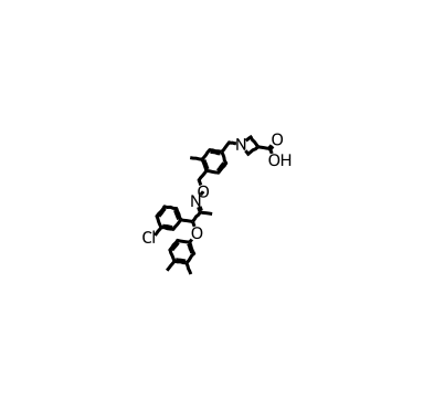 C/C(=N\OCc1ccc(CN2CC(C(=O)O)C2)cc1C)C(Oc1ccc(C)c(C)c1)c1cccc(Cl)c1